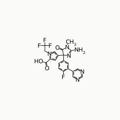 CN1C(=O)C(c2ccc(F)c(-c3cncnc3)c2)(c2cc(C(=O)O)n(CC(F)(F)F)c2)N=C1N